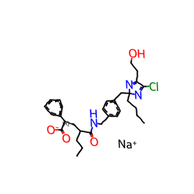 CCCCC1(Cc2ccc(CNC(=O)C(CCC)C[C@@H](C(=O)[O-])c3ccccc3)cc2)N=C(Cl)C(CCO)=N1.[Na+]